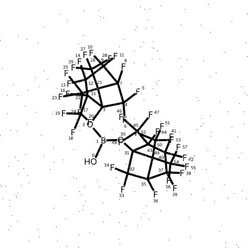 OB(OC12C(F)(F)C(F)(C(F)(F)C(F)(F)C1(F)C(F)(F)F)C2(C(F)(F)F)C(F)(F)F)OC12C(F)(F)C(F)(C(F)(F)C(F)(F)C1(F)C(F)(F)F)C2(C(F)(F)F)C(F)(F)F